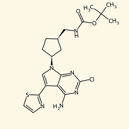 CC(C)(C)OC(=O)NC[C@@H]1CC[C@H](n2cc(-c3nccs3)c3c(N)nc(Cl)nc32)C1